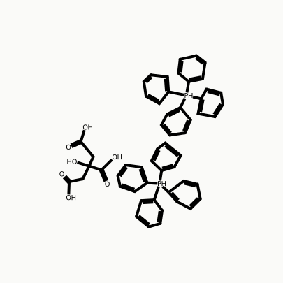 O=C(O)CC(O)(CC(=O)O)C(=O)O.c1ccc([PH](c2ccccc2)(c2ccccc2)c2ccccc2)cc1.c1ccc([PH](c2ccccc2)(c2ccccc2)c2ccccc2)cc1